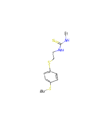 CCNC(=S)NCCSc1ccc(SC(C)CC)cc1